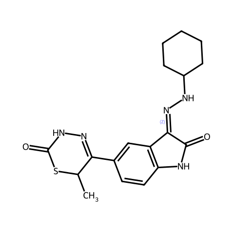 CC1SC(=O)NN=C1c1ccc2c(c1)/C(=N/NC1CCCCC1)C(=O)N2